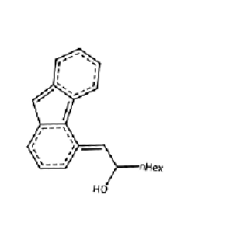 CCCCCCC(O)C=c1cccc2c1=c1ccccc1=C2